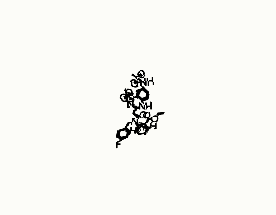 CCOC(=O)C1[C@H]2CC[C@H](C2)[C@@H]1N(Cc1ccc(F)cc1)C(=O)CC1=NS(=O)(=O)c2cc(NS(C)(=O)=O)ccc2N1